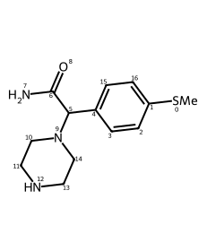 CSc1ccc(C(C(N)=O)N2CCNCC2)cc1